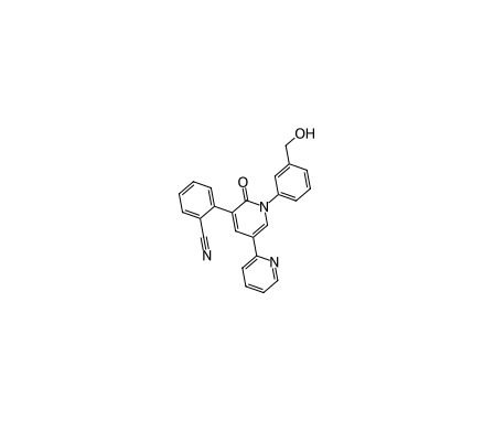 N#Cc1ccccc1-c1cc(-c2ccccn2)cn(-c2cccc(CO)c2)c1=O